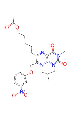 CC(=O)OCCCCCc1nc2c(=O)n(C)c(=O)n(CC(C)C)c2nc1COc1cccc([N+](=O)[O-])c1